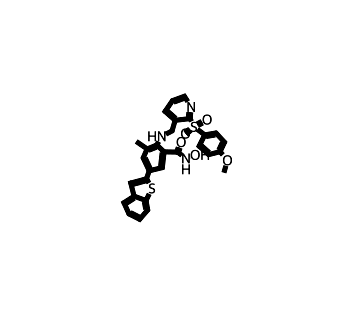 COc1ccc(S(=O)(=O)c2ncccc2CNc2c(C)cc(-c3cc4ccccc4s3)cc2C(=O)NO)cc1